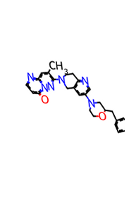 Cc1cc2nccc(=O)n2nc1N1CCc2ncc(N3CCOC(Cc4ccccc4)C3)cc2C1